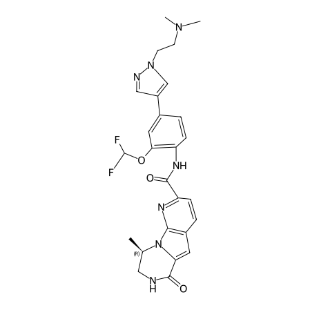 C[C@@H]1CNC(=O)c2cc3ccc(C(=O)Nc4ccc(-c5cnn(CCN(C)C)c5)cc4OC(F)F)nc3n21